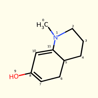 CN1CCCC2CC=C(O)C=C21